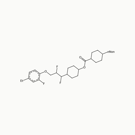 CCCCCCCCCC1CCC(C(=O)OC2CCC(C(F)C(F)COc3ccc(CC)cc3F)CC2)CC1